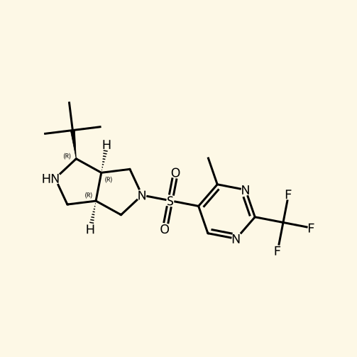 Cc1nc(C(F)(F)F)ncc1S(=O)(=O)N1C[C@H]2CN[C@@H](C(C)(C)C)[C@H]2C1